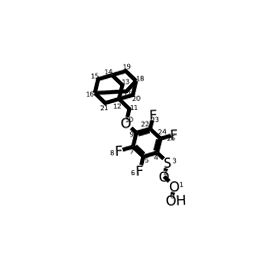 OOOSc1c(F)c(F)c(OCC23CC4CC(CC(C4)C2)C3)c(F)c1F